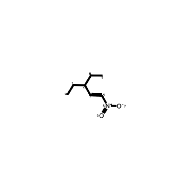 CCC(C=C[N+](=O)[O-])CC